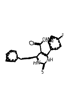 COC(=O)C1=C(c2ccc(F)cc2)NC(=S)NC1CCc1ccccc1